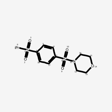 CC(C)S(=O)(=O)c1ccc(S(=O)(=O)N2CCOCC2)cc1